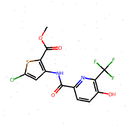 COC(=O)c1sc(Cl)cc1NC(=O)c1ccc(O)c(C(F)(F)F)n1